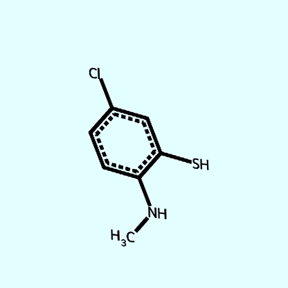 CNc1ccc(Cl)cc1S